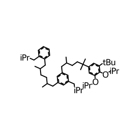 CC(C)Cc1cc(CC(C)CCC(C)Cc2ccccc2CC(C)C)cc(CC(C)CCC(C)(C)c2cc(OC(C)C)c(OC(C)C)c(C(C)(C)C)c2)c1